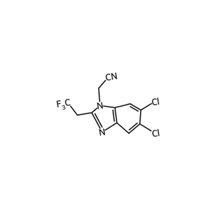 N#CCn1c(CC(F)(F)F)nc2cc(Cl)c(Cl)cc21